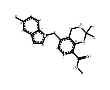 COC(=O)c1ncc(Cn2ccc3cc(C)ccc32)c2c1OC(C)(C)OC2